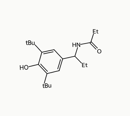 CCC(=O)NC(CC)c1cc(C(C)(C)C)c(O)c(C(C)(C)C)c1